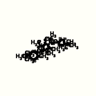 C=C(SC)/C(=C(/SC)C(=C(C)C)N(CC)COc1ccc(C(C)(C)C)cc1)N(C)CO/C1=C/C=C(/C(C)(C)C)CC=C=C1C